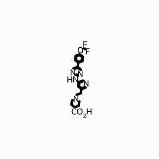 O=C(O)C1CCN(CCc2cncc(Nc3ncc(-c4ccc(OC(F)F)cc4)cn3)c2)CC1